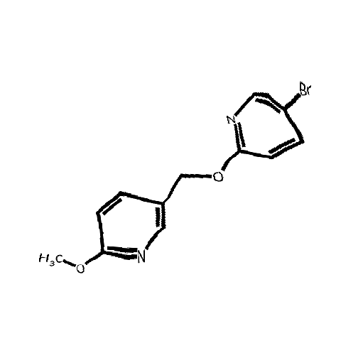 COc1ccc(COc2ccc(Br)cn2)cn1